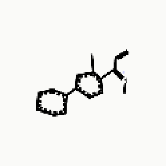 C=C/C(=N/C)c1ccc(-c2ccccc2)cc1C